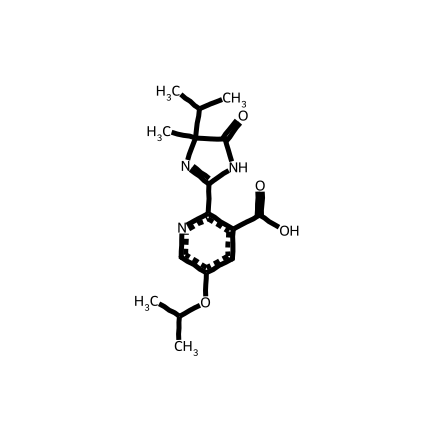 CC(C)Oc1cnc(C2=NC(C)(C(C)C)C(=O)N2)c(C(=O)O)c1